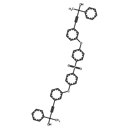 CC(O)(C#Cc1cccc(Oc2ccc(S(=O)(=O)c3ccc(Oc4cccc(C#CC(C)(O)c5ccccc5)c4)cc3)cc2)c1)c1ccccc1